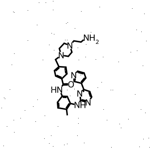 Cc1ccc(NC(=O)c2ccc(CN3CCN(CCN)CC3)cc2)cc1Nc1nccc(-c2cccnc2)n1